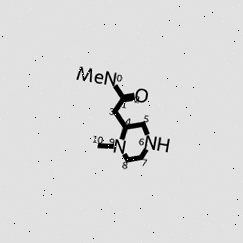 CNC(=O)CC1CNCCN1C